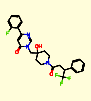 O=C(CC(c1ccccc1)C(F)(F)F)N1CCC(O)(Cn2cnc(-c3ccccc3F)cc2=O)CC1